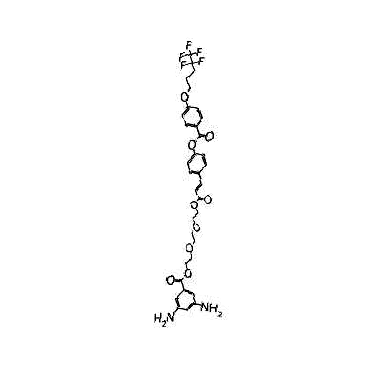 Nc1cc(N)cc(C(=O)OCCOCCOCCOC(=O)/C=C/c2ccc(OC(=O)c3ccc(OCCCC(F)(F)C(F)(F)F)cc3)cc2)c1